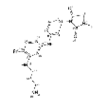 CN1CC(=O)N(c2cccc(Nc3ncc(Br)c(NCCCN)n3)c2)C1=O